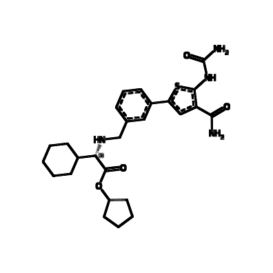 NC(=O)Nc1sc(-c2cccc(CN[C@H](C(=O)OC3CCCC3)C3CCCCC3)c2)cc1C(N)=O